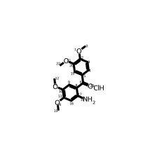 COc1ccc(C(=O)c2cc(OC)c(OC)cc2N)cc1OC.Cl